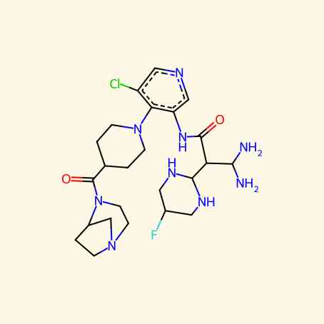 NC(N)C(C(=O)Nc1cncc(Cl)c1N1CCC(C(=O)N2CCN3CCC2C3)CC1)C1NCC(F)CN1